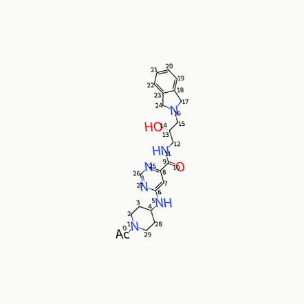 CC(=O)N1CCC(Nc2cc(C(=O)NC[C@H](O)CN3Cc4ccccc4C3)ncn2)CC1